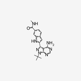 CNC(=O)c1ccc2cc(-c3nn(C(C)(C)C)c4ncnc(N)c34)[nH]c2c1